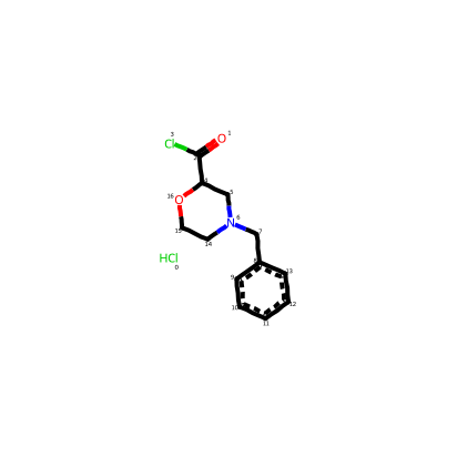 Cl.O=C(Cl)C1CN(Cc2ccccc2)CCO1